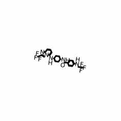 O=C(N[C@H]1CC[C@@H](Nc2cccc3nc(C(F)(F)F)cn23)CC1)c1ccc(NCC(F)(F)F)cc1